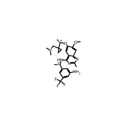 COc1cc2nc(C)nc(N[C@H](C)c3cc(N)cc(C(F)(F)F)c3)c2cc1O[C@H](C)C1(CN(C)C)CC1